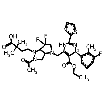 CCOC(=O)C1=C(CN2CC(F)(F)C3C2CN(C(C)=O)N3CCC(C)(C)C(=O)O)NC(c2nccs2)=N[C@H]1c1cccc(F)c1C